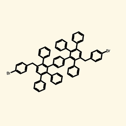 Brc1ccc(Cc2cc(-c3ccccc3)c(-c3ccccc3)c(-c3ccc(-c4c(-c5ccccc5)c(Cc5ccc(Br)cc5)cc(-c5ccccc5)c4-c4ccccc4)cc3)c2-c2ccccc2)cc1